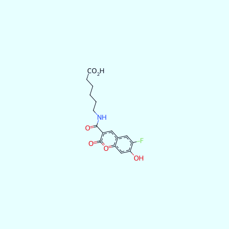 O=C(O)CCCCCNC(=O)c1cc2cc(F)c(O)cc2oc1=O